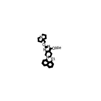 CCc1cccc2cccc(N3CCc4c(nc(OCC56CCCN5CCC6)nc4OC)C3)c12